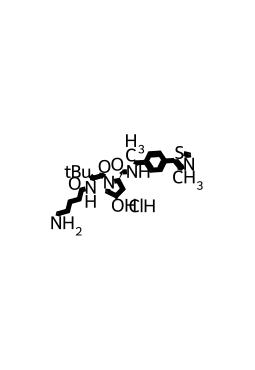 Cc1ncsc1-c1ccc([C@H](C)NC(=O)[C@@H]2C[C@@H](O)CN2C(=O)C(NC(=O)CCCCN)C(C)(C)C)cc1.Cl